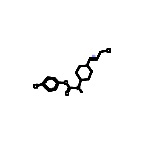 CN(C(=O)Oc1ccc(Cl)cc1)C1CCC(/C=C/CCl)CC1